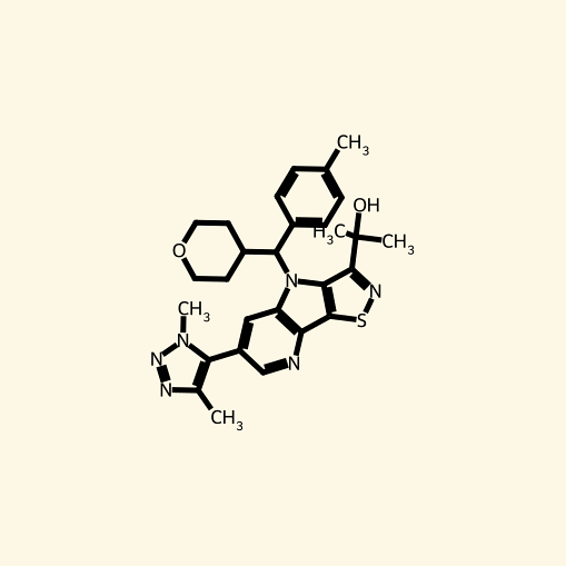 Cc1ccc(C(C2CCOCC2)n2c3cc(-c4c(C)nnn4C)cnc3c3snc(C(C)(C)O)c32)cc1